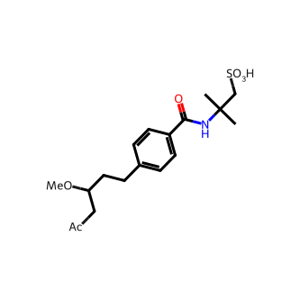 COC(CCc1ccc(C(=O)NC(C)(C)CS(=O)(=O)O)cc1)CC(C)=O